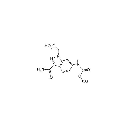 CC(C)(C)OC(=O)Nc1ccc2c(C(N)=O)nn(CC(=O)O)c2c1